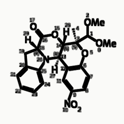 COC(OC)[C@@]1(C)Oc2ccc([N+](=O)[O-])cc2[C@@H]2[C@@H]1OC(=O)[C@H]1Cc3ccccc3N12